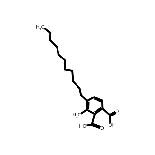 CCCCCCCCCCCc1ccc(C(=O)O)c(C(=O)O)c1C